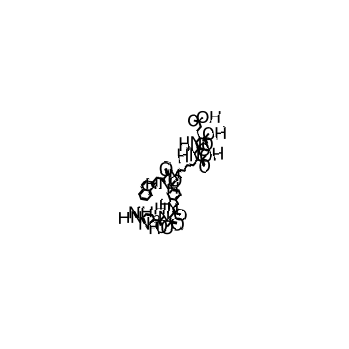 NNc1ccc(C(=O)NC(C(=O)O)C(=O)NCC2=CC=C(C(=O)NC(Cc3ccc4ccccc4c3)C(=O)NCCCCC(NC(=O)NC(CCC(=O)O)C(=O)O)C(=O)O)CC2)cn1